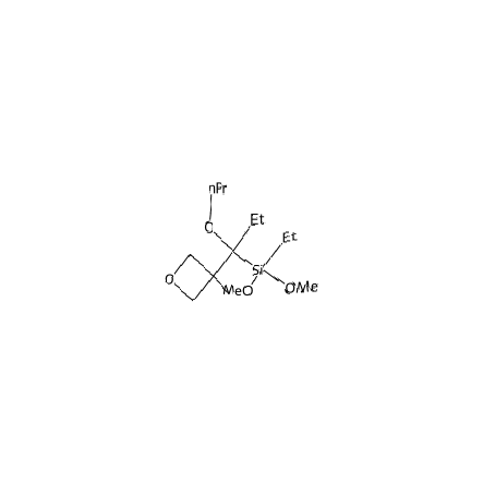 CCCOC(CC)(C1(C)COC1)[Si](CC)(OC)OC